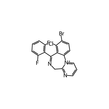 Fc1cccc(F)c1C1=NCc2nccc[n+]2-c2ccc(Br)c(Cl)c21